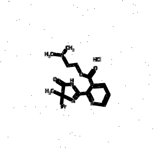 CC(C)C1(C)N=C(c2ncccc2C(=O)OCCN(C)C)NC1=O.Cl